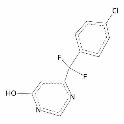 Oc1cc(C(F)(F)c2ccc(Cl)cc2)ncn1